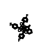 CC1=C[C](C)([Ti]([O]C(=O)c2ccc(F)cc2)([O]C(=O)c2ccc(F)cc2)[O]C(=O)c2ccc(F)cc2)C2=C1CCCC2